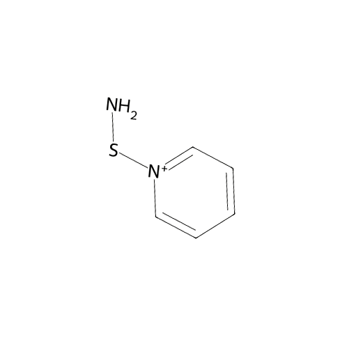 NS[n+]1ccccc1